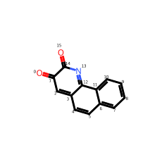 O=C1C=c2ccc3ccccc3c2=NC1=O